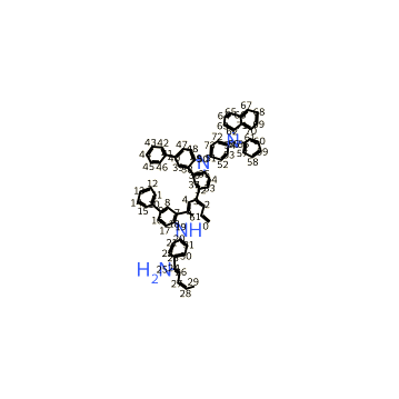 C=C/C=C(\C=C(/C)c1cc(-c2ccccc2)ccc1Nc1ccc(/C(N)=C/C=C\C)cc1)c1ccc2c(c1)c1cc(-c3ccccc3)ccc1n2-c1ccc(N(c2ccccc2)c2cccc3ccccc23)cc1